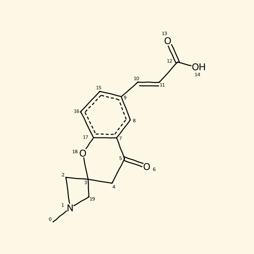 CN1CC2(CC(=O)c3cc(C=CC(=O)O)ccc3O2)C1